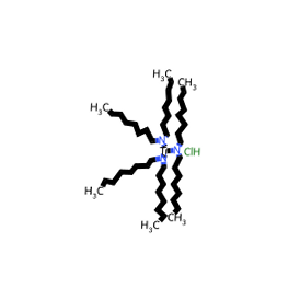 CCCCCCCC[N](CCCCCCCC)[Ti]([N](CCCCCCCC)CCCCCCCC)[N](CCCCCCCC)CCCCCCCC.Cl